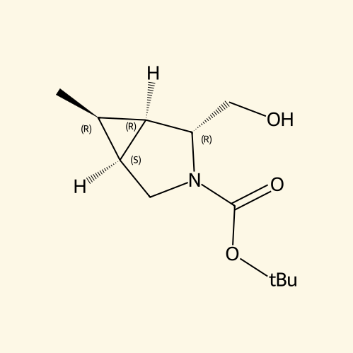 C[C@@H]1[C@@H]2CN(C(=O)OC(C)(C)C)[C@@H](CO)[C@H]12